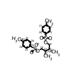 Cc1ccc(S(=O)(=O)OC[C@H](C)[C@@H](C)COS(=O)(=O)c2ccc(C)cc2)cc1